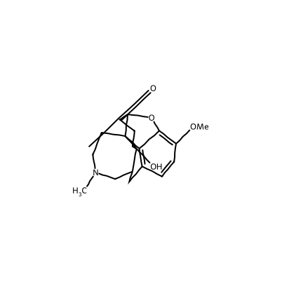 COc1ccc2c3c1OC1C(=O)CCC4(O)C(C2)CN(C)CCC314